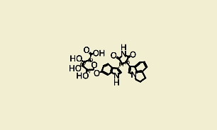 O=C(O)[C@H]1OC(Oc2ccc3c([C@@H]4C(=O)NC(=O)[C@H]4c4cn5c6c(cccc46)CCC5)c[nH]c3c2)[C@H](O)[C@@H](O)[C@@H]1O